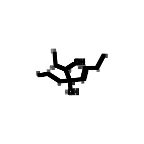 [CH2]CC=CC(O)(CCC)C(O)CC